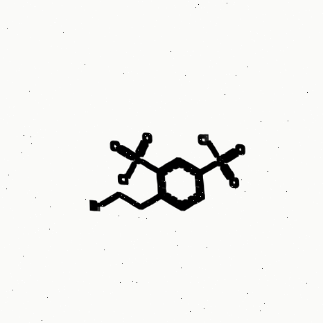 O=S(=O)(Cl)c1ccc(CCBr)c(S(=O)(=O)Cl)c1